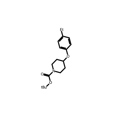 CCc1ccc(OC2CCN(C(=O)OC(C)(C)C)CC2)cc1